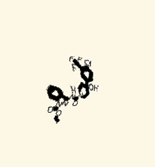 CCOC(=O)n1nc(NC(=O)N2CCC(O)(c3ccc(Cl)c(C(F)(F)F)c3)CC2)c2ccccc21